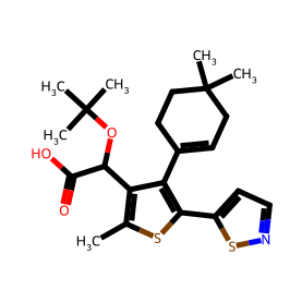 Cc1sc(-c2ccns2)c(C2=CCC(C)(C)CC2)c1C(OC(C)(C)C)C(=O)O